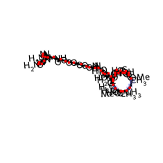 CO[C@H]1C[C@@H]2CC[C@@H](C)[C@@](O)(O2)C(=O)C(=O)N2CCCC[C@H]2C(=O)O[C@H]([C@H](N)C[C@@H]2CC[C@@H](OC(=O)NCc3cn(CCOCCOCCOCCOCCOCCOCCC(=O)NCCCCn4nc(-c5ccc6oc(N)nc6c5)c5c(N)ncnc54)nn3)[C@H](O)C2)CC(=O)[C@H](C)/C=C(\C)[C@@H](O)[C@@H](OC)C(=O)[C@H](C)C[C@H](C)/C=C/C=C/C=C/1C